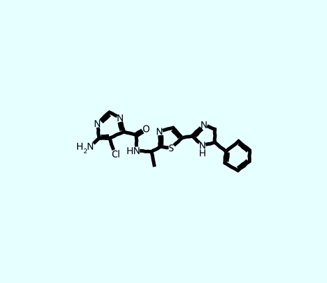 CC(NC(=O)c1ncnc(N)c1Cl)c1ncc(C2=NCC(c3ccccc3)N2)s1